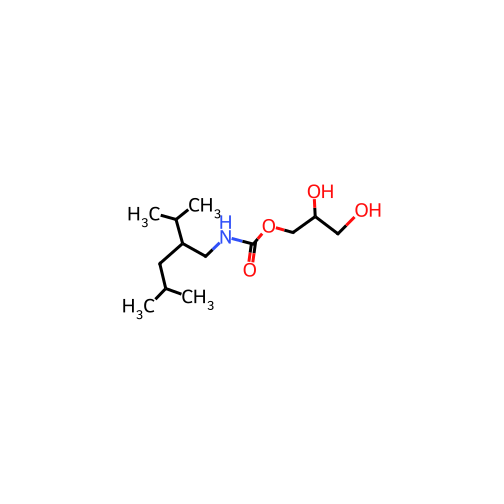 CC(C)CC(CNC(=O)OCC(O)CO)C(C)C